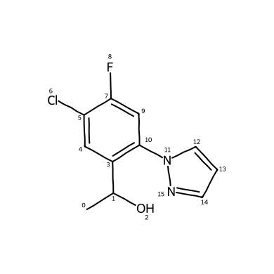 CC(O)c1cc(Cl)c(F)cc1-n1cccn1